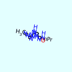 CCCC(=O)Nc1cncc(-c2ccc3[nH]nc(-c4nc5c(N6CCN(C)CC6)ccnc5[nH]4)c3n2)c1